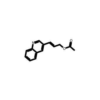 CC(=O)OCC=Cc1cnc2ccccc2c1